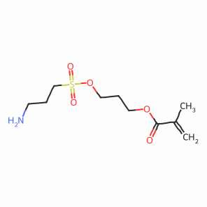 C=C(C)C(=O)OCCCOS(=O)(=O)CCCN